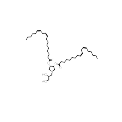 CCCCC/C=C\C/C=C\CCCCCCCC(=O)O[C@@H]1CN(CC(O)CO)C[C@H]1OC(=O)CCCCCCC/C=C\C/C=C\CCCCC